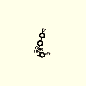 CCc1ccc(C)c(NS(=O)(=O)c2ccc(-c3ccc(Br)cc3)cc2)c1